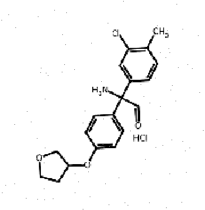 Cc1ccc(C(N)(C=O)c2ccc(OC3CCOC3)cc2)cc1Cl.Cl